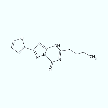 CCCCc1nc(=O)n2nc(-c3ccco3)cc2[nH]1